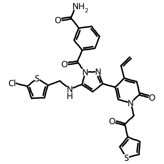 C=Cc1cc(=O)n(CC(=O)c2ccsc2)cc1-c1cc(NCc2ccc(Cl)s2)n(C(=O)c2cccc(C(N)=O)c2)n1